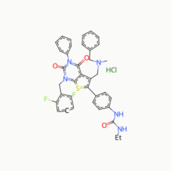 CCNC(=O)Nc1ccc(-c2sc3c(c2CN(C)Cc2ccccc2)c(=O)n(-c2ccccc2)c(=O)n3Cc2c(F)cccc2F)cc1.Cl